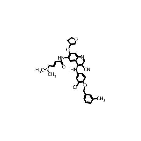 Cc1cccc(COc2ccc(Nc3c(C#N)cnc4cc(OC5CCOC5)c(NC(=O)C=CCN(C)C)cc34)cc2Cl)c1